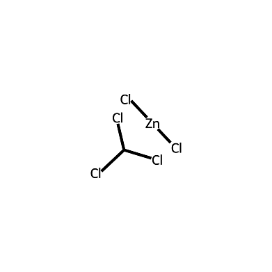 ClC(Cl)Cl.[Cl][Zn][Cl]